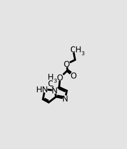 CCOC(=O)OC1=CN=C2C=CN[N+]12C